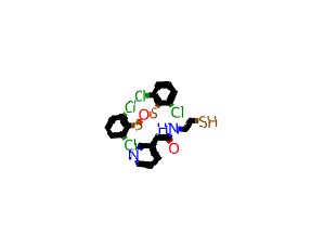 Clc1cccc(Cl)c1SOSc1c(Cl)cccc1Cl.O=C(Cc1cccnc1)NCCS